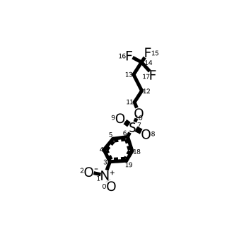 O=[N+]([O-])c1ccc(S(=O)(=O)OCCCC(F)(F)F)cc1